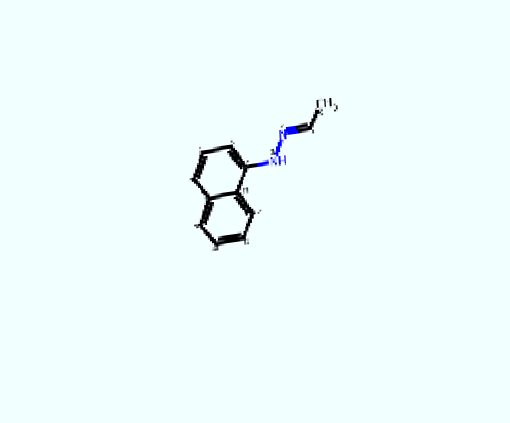 C/C=N/Nc1cccc2ccccc12